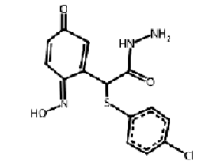 NNC(=O)C(Sc1ccc(Cl)cc1)C1=CC(=O)C=CC1=NO